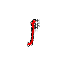 CCc1c2c(nc3ccc(O)cc13)-c1cc3c(c(=O)n1C2)COC(=O)[C@@]3(CC)OC(=O)OCc1ccc(NC(=O)COCC(=O)NCCOCCOCCOCCOCCOCCOCCOCCOCCn2cc(CNC(=O)C3CCC(CN4C(=O)C=CC4=O)CC3)nn2)cc1